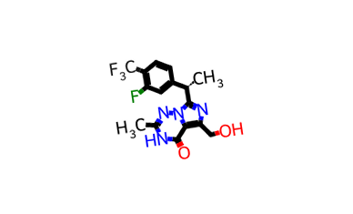 Cc1nn2c([C@@H](C)c3ccc(C(F)(F)F)c(F)c3)nc(CO)c2c(=O)[nH]1